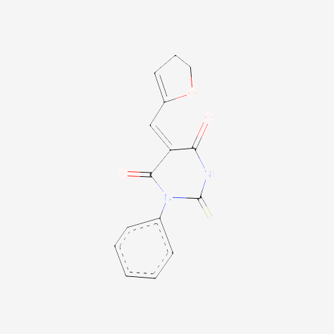 O=C1NC(=S)N(c2ccccc2)C(=O)/C1=C/C1=CCCO1